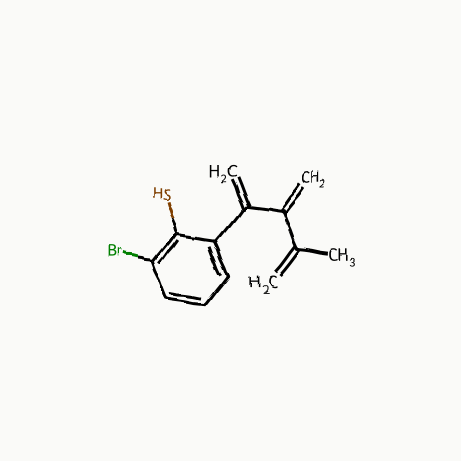 C=C(C)C(=C)C(=C)c1cccc(Br)c1S